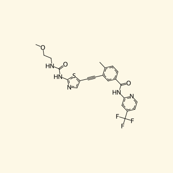 COCCNC(=O)Nc1ncc(C#Cc2cc(C(=O)Nc3cc(C(F)(F)F)ccn3)ccc2C)s1